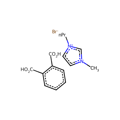 CCC[n+]1ccn(C)c1.O=C(O)c1ccccc1C(=O)O.[Br-]